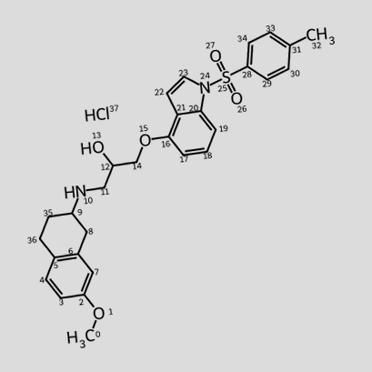 COc1ccc2c(c1)CC(NCC(O)COc1cccc3c1ccn3S(=O)(=O)c1ccc(C)cc1)CC2.Cl